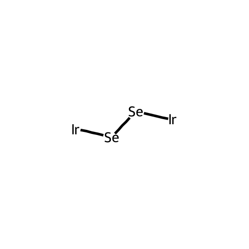 [Ir][Se][Se][Ir]